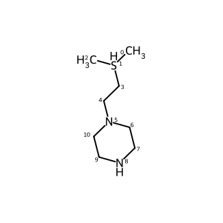 C[SH](C)CCN1CCNCC1